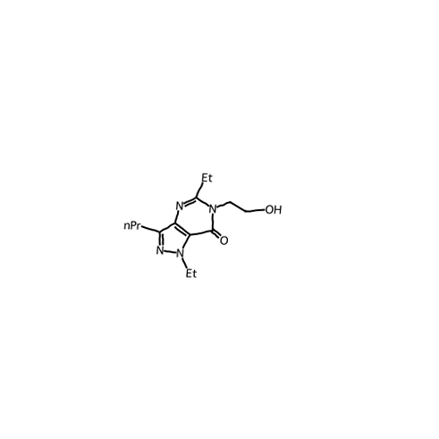 CCCc1nn(CC)c2c(=O)n(CCO)c(CC)nc12